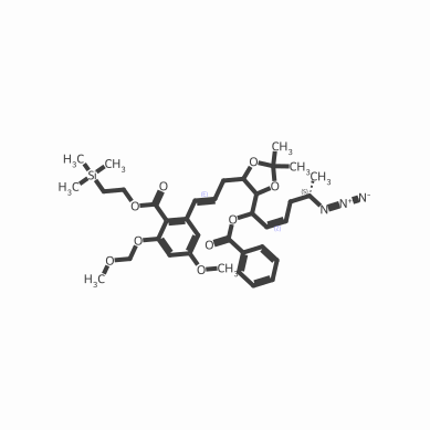 COCOc1cc(OC)cc(/C=C/CC2OC(C)(C)OC2C(/C=C\C[C@H](C)N=[N+]=[N-])OC(=O)c2ccccc2)c1C(=O)OCC[Si](C)(C)C